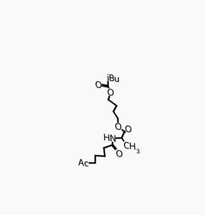 CCC(C)C(=O)OCCCCOC(=O)C(C)NC(=O)CCCCC(C)=O